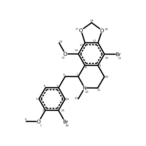 COc1ccc(CC2c3c(c(Br)c4c(c3OC)OCO4)CCN2C)cc1Br